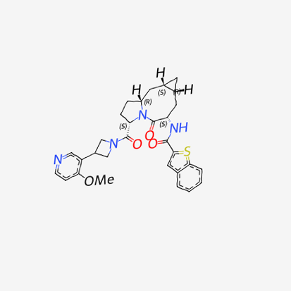 COc1ccncc1C1CN(C(=O)[C@@H]2CC[C@@H]3C[C@@H]4C[C@@H]4C[C@H](NC(=O)c4cc5ccccc5s4)C(=O)N32)C1